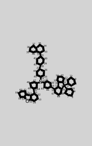 c1ccc(C2(c3ccccc3)c3ccccc3-c3c(-c4ccc(N(c5ccc(-c6ccc(-c7cccc8ccccc78)cc6)cc5)c5cccc(-c6cccc7oc8ccccc8c67)c5)cc4)cccc32)cc1